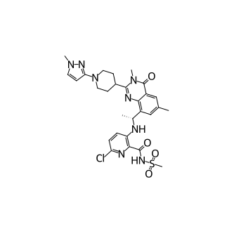 Cc1cc([C@@H](C)Nc2ccc(Cl)nc2C(=O)NS(C)(=O)=O)c2nc(C3CCN(c4ccn(C)n4)CC3)n(C)c(=O)c2c1